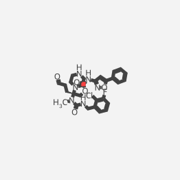 CN(C(=O)NCc1cccc(F)c1Cl)[C@@](CCC=O)(COC(=O)Nc1cc(-c2ccccc2)on1)N1CCNCC1